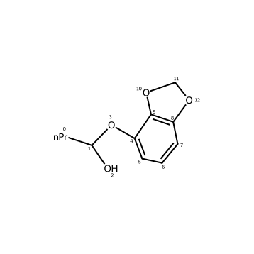 CCCC(O)Oc1cccc2c1OCO2